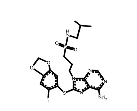 CC(C)CNS(=O)(=O)CCCn1c(Sc2cc3c(cc2I)OCO3)nc2c(N)ncnc21